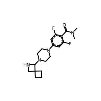 CN(C)C(=O)c1c(F)cc(N2CCN(C3NCC34CCC4)CC2)cc1F